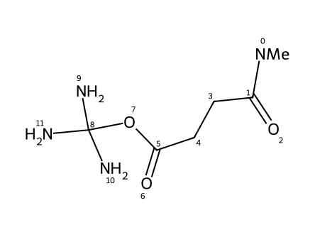 CNC(=O)CCC(=O)OC(N)(N)N